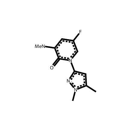 CNc1cc(F)cn(-c2cc(C)n(C)n2)c1=O